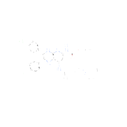 CCOC(=O)Nc1cc(NC(C)CCCN(CC)CC)c2nc(-c3ccc(Cl)cc3)c(-c3ccc(Cl)cc3)nc2n1